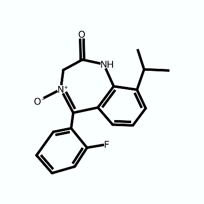 CC(C)c1cccc2c1NC(=O)C[N+]([O-])=C2c1ccccc1F